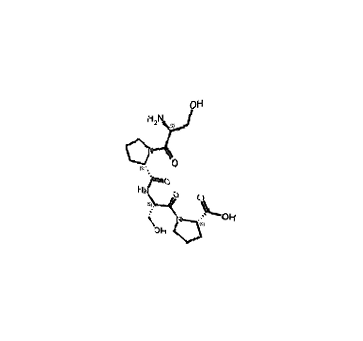 N[C@@H](CO)C(=O)N1CCC[C@H]1C(=O)N[C@@H](CO)C(=O)N1CCC[C@H]1C(=O)O